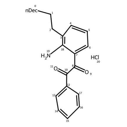 CCCCCCCCCCCCc1cccc(C(=O)C(=O)c2ccccc2)c1N.Cl